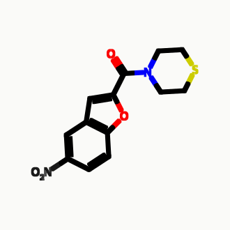 O=C(c1cc2cc([N+](=O)[O-])ccc2o1)N1CCSCC1